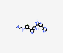 CN(C)CCNc1cc(F)cc(-c2cncc3[nH]c(-c4n[nH]c5ncc(-c6cnccn6)cc45)cc23)c1